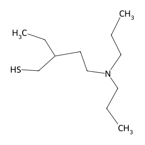 CCCN(CCC)CCC(CC)CS